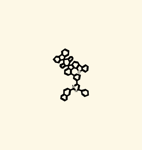 C1=CC(c2cc(-c3cccc(-c4cccc5c4-c4c(ccc6c4oc4ccccc46)C54c5ccccc5C5(c6ccccc6-c6ccccc65)c5ccccc54)c3)nc(-c3ccc4ccccc4c3)n2)=CCC1